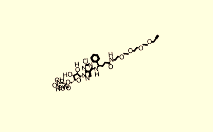 C#CCOCCOCCOCCOCCNC(=O)CCC(Nc1nc(Cl)nc2c1cnn2[C@@H]1O[C@H](COP(=O)(O)CP(=O)(O)O)[C@@H](O)[C@H]1O)c1ccccc1